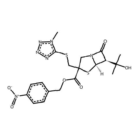 Cn1nnnc1SCC1(C(=O)OCc2ccc([N+](=O)[O-])cc2)CN2C(=O)[C@@H](C(C)(C)O)[C@H]2S1